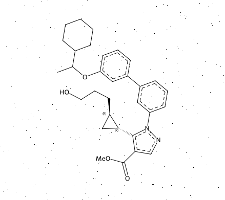 COC(=O)c1cnn(-c2cccc(-c3cccc(OC(C)C4CCCCC4)c3)c2)c1[C@@H]1C[C@H]1CCCO